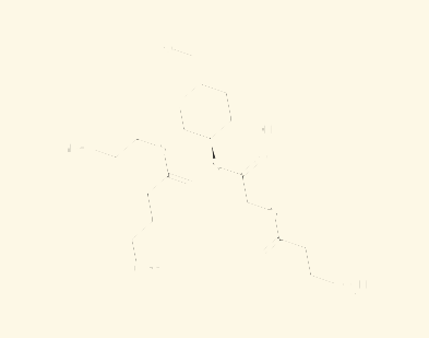 CCCCCCCCCCCCCC(=O)N(CCCCCCCCCCCC)[C@@H]1O[C@H](CO)[C@H](O)[C@H](O)[C@H]1NC(=O)CNC(=O)CCC(=O)O